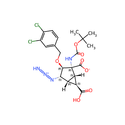 CC(C)(C)OC(=O)N[C@]1(C(=O)[O-])[C@@H]2[C@@H](C(=O)O)[C@@H]2[C@H](N=[N+]=N)[C@H]1OCc1ccc(Cl)c(Cl)c1